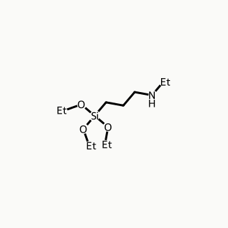 [CH2]CNCCC[Si](OCC)(OCC)OCC